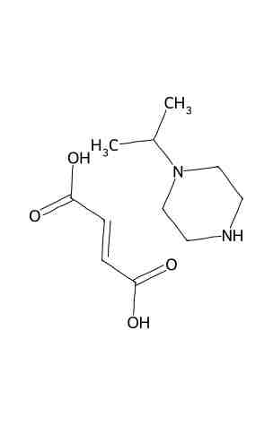 CC(C)N1CCNCC1.O=C(O)/C=C/C(=O)O